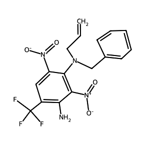 C=CCN(Cc1ccccc1)c1c([N+](=O)[O-])cc(C(F)(F)F)c(N)c1[N+](=O)[O-]